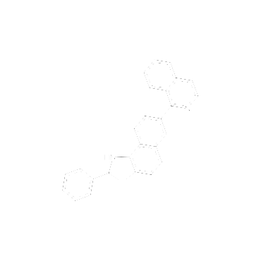 c1ccc(C2Nc3c(ccc4cc(-c5nccc6ccccc56)ccc34)O2)cc1